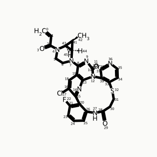 C=CC(=O)N1CCN(c2nc(=O)n3c4nc(c(Cl)cc24)-c2c(F)cccc2NC(=O)CCSc2ccnc(C(C)C)c2-3)[C@@H]2[C@H](C)[C@@H]21